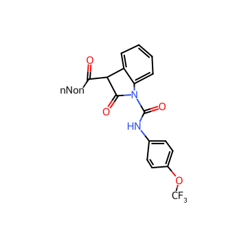 CCCCCCCCCC(=O)C1C(=O)N(C(=O)Nc2ccc(OC(F)(F)F)cc2)c2ccccc21